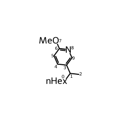 CCCCCCC(C)c1ccc(OC)nc1